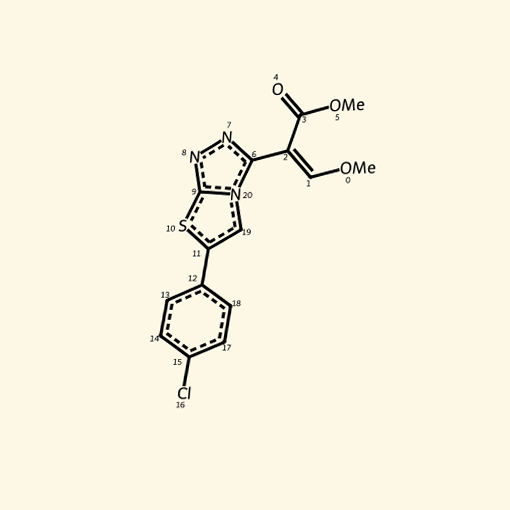 COC=C(C(=O)OC)c1nnc2sc(-c3ccc(Cl)cc3)cn12